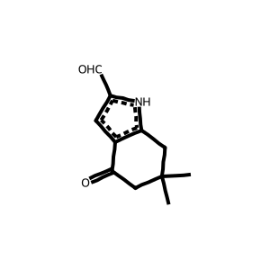 CC1(C)CC(=O)c2cc(C=O)[nH]c2C1